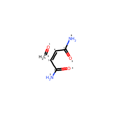 C=O.NC(=O)/C=C\C(N)=O